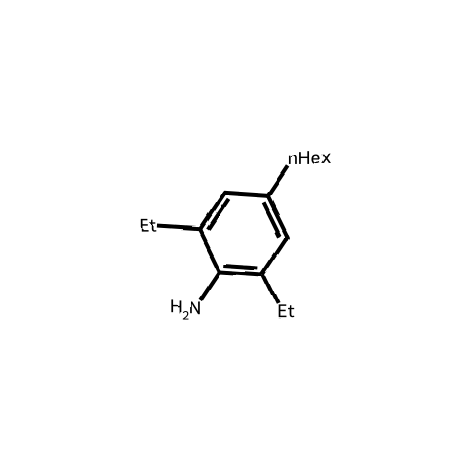 CCCCCCc1cc(CC)c(N)c(CC)c1